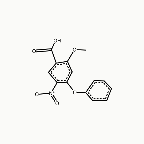 COc1cc(Oc2ccccc2)c([N+](=O)[O-])cc1C(=O)O